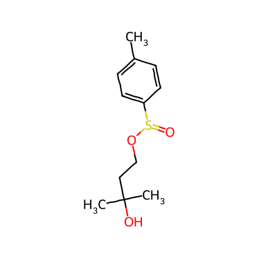 Cc1ccc(S(=O)OCCC(C)(C)O)cc1